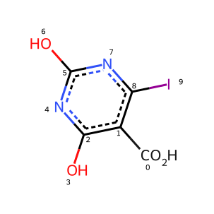 O=C(O)c1c(O)nc(O)nc1I